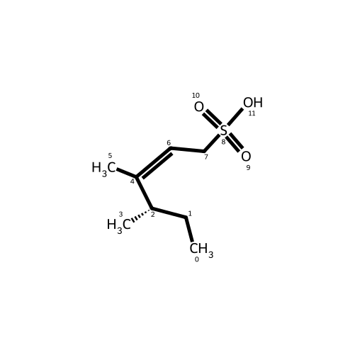 CC[C@H](C)/C(C)=C\CS(=O)(=O)O